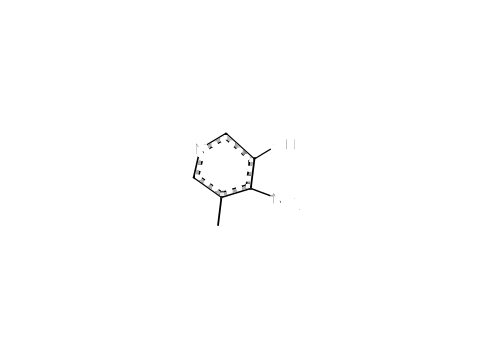 Cc1cncc(O)c1[N+](=O)[O-]